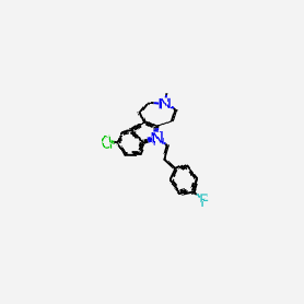 CN1CCc2c(n(CCc3ccc(F)cc3)c3ccc(Cl)cc23)CC1